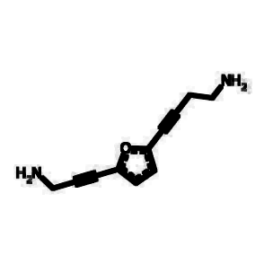 NCC#Cc1ccc(C#CCCN)o1